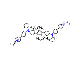 C[n+]1ccc(-c2ccc(N(c3ccccc3)c3ccc4c(c3)C(C)(C)c3cc5c(cc3-4)C(C)(C)c3cc(N(c4ccccc4)c4ccc(-c6cc[n+](C)cc6)cc4)ccc3-5)cc2)cc1